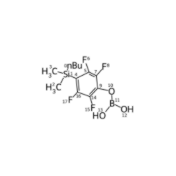 CCCC[Si](C)(C)c1c(F)c(F)c(OB(O)O)c(F)c1F